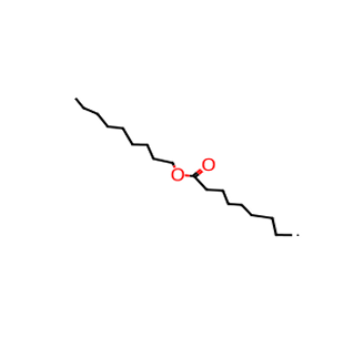 [CH2]CCCCCCCC(=O)OCCCCCCCCC